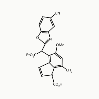 CCOC(=O)C(c1nc2cc(C#N)ccc2o1)c1c(OC)cc(C)c2c1ccn2C(=O)O